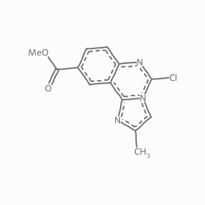 COC(=O)c1ccc2nc(Cl)n3cc(C)nc3c2c1